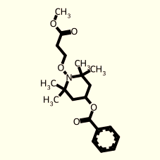 COC(=O)CCON1C(C)(C)CC(OC(=O)c2ccccc2)CC1(C)C